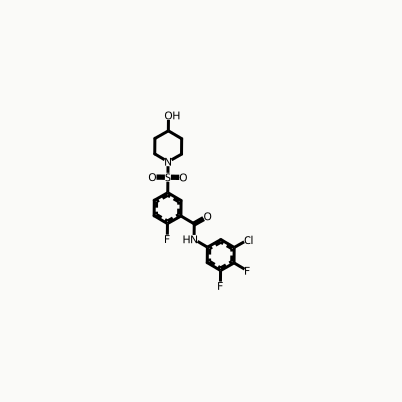 O=C(Nc1cc(F)c(F)c(Cl)c1)c1cc(S(=O)(=O)N2CCC(O)CC2)ccc1F